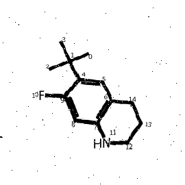 CC(C)(C)c1cc2c(cc1F)NCC[C]2